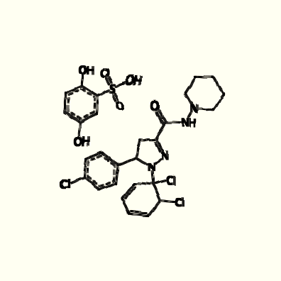 O=C(NN1CCCCC1)C1=NN(C2(Cl)C=CC=CC2Cl)C(c2ccc(Cl)cc2)C1.O=S(=O)(O)c1cc(O)ccc1O